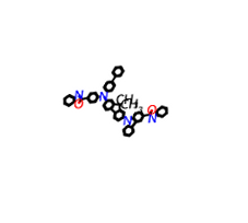 CC1(C)c2cc(N(c3ccc(-c4ccccc4)cc3)c3ccc(-c4nc5ccccc5o4)cc3)ccc2-c2ccc(-n3c4ccccc4c4cc(-c5nc6ccccc6o5)ccc43)cc21